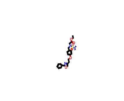 CCOC(=O)CN(Cc1ccc(OCCc2coc(-c3ccccc3)n2)cc1)S(=O)(=O)N(C)C